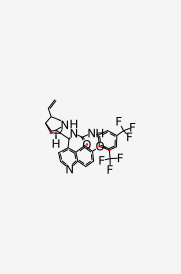 C=CC1C[N@@]2CCC1C[C@H]2[C@@H](NC(=O)Nc1cc(C(F)(F)F)cc(C(F)(F)F)c1)c1ccnc2ccc(OC)cc12